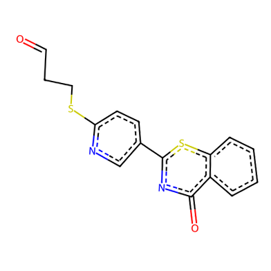 O=CCCSc1ccc(-c2nc(=O)c3ccccc3s2)cn1